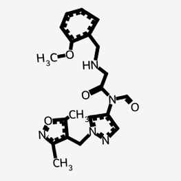 COc1ccccc1CNCC(=O)N(C=O)c1cnn(Cc2c(C)noc2C)c1